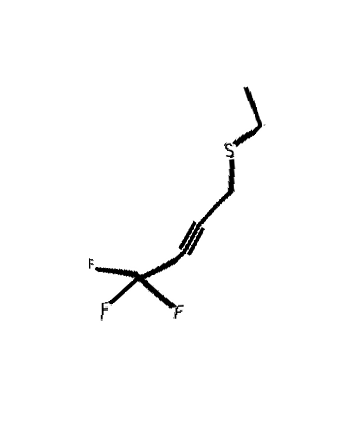 C[CH]SCC#CC(F)(F)F